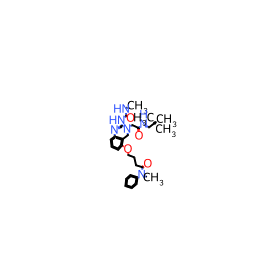 CNC(=O)NC1=Nc2cccc(OCCCC(=O)N(C)c3ccccc3)c2CN1CC(=O)NCC(C)(C)C